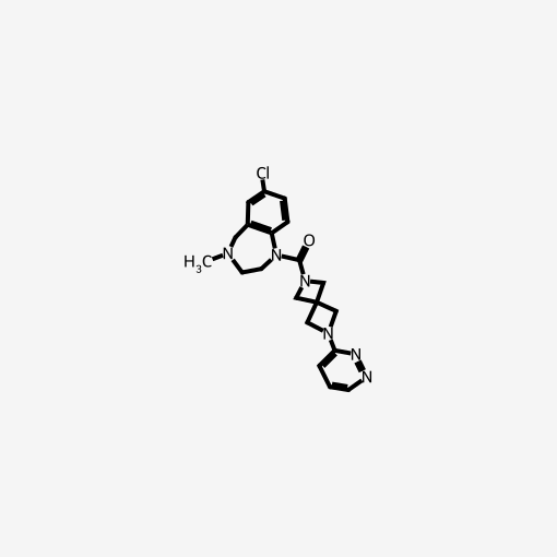 CN1CCN(C(=O)N2CC3(C2)CN(c2cccnn2)C3)c2ccc(Cl)cc2C1